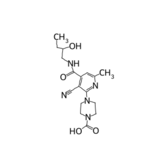 CCC(O)CNC(=O)c1cc(C)nc(N2CCN(C(=O)O)CC2)c1C#N